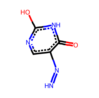 N=Nc1cnc(O)[nH]c1=O